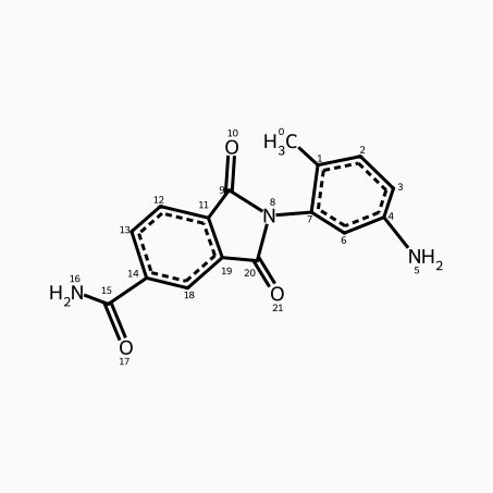 Cc1ccc(N)cc1N1C(=O)c2ccc(C(N)=O)cc2C1=O